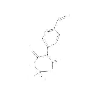 C=Cc1ccc(C2C(=O)OC(C)(C)OC2=O)cc1